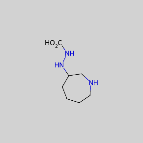 O=C(O)NNC1CCCCNC1